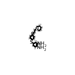 Nc1ccc(Sc2ccc(OCCN3CCCCC3)cc2)cc1N